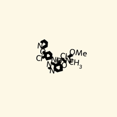 COCCN(C)C(=O)[C@@H](C)Oc1cccc2ncnc(Nc3ccc(Oc4ccccn4)c(Cl)c3)c12